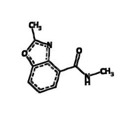 CNC(=O)c1cccc2oc(C)nc12